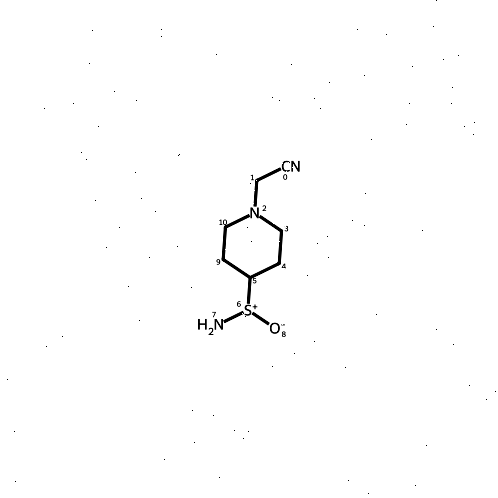 N#CCN1CCC([S+](N)[O-])CC1